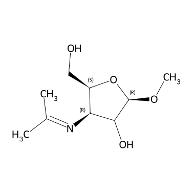 CO[C@@H]1O[C@H](CO)[C@H](N=C(C)C)C1O